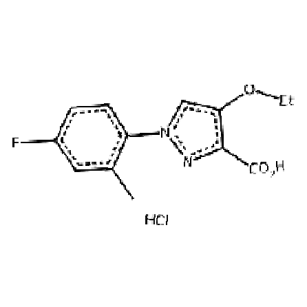 CCOc1cn(-c2ccc(F)cc2C)nc1C(=O)O.Cl